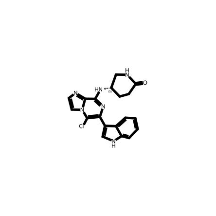 O=C1CC[C@H](Nc2nc(-c3c[nH]c4ccccc34)c(Cl)n3ccnc23)CN1